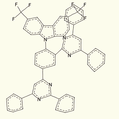 FC(F)(F)c1ccc2c(c1)c1cc(C(F)(F)F)ccc1n2-c1ccc(-c2cc(-c3ccccc3)nc(-c3ccccc3)n2)cc1-c1nc(-c2ccccc2)cc(-c2ccccc2)n1